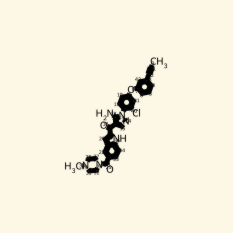 CC#Cc1cccc(Oc2ccc(-n3ncc(C(=O)c4cc5cc(C(=O)N6CCN(C)CC6)ccc5[nH]4)c3N)c(Cl)c2)c1